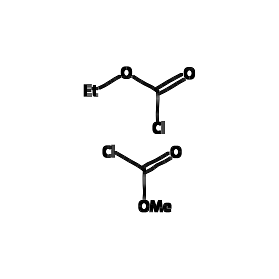 CCOC(=O)Cl.COC(=O)Cl